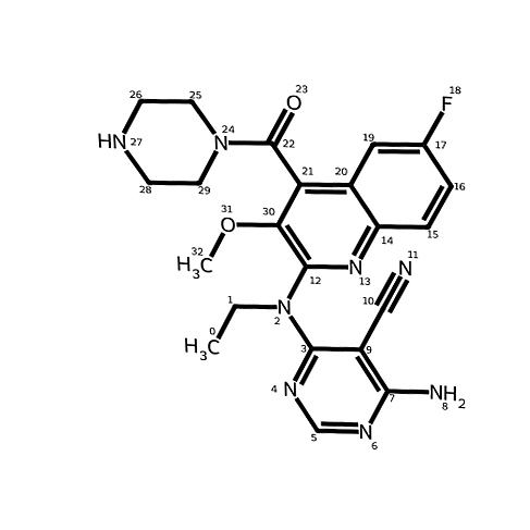 CCN(c1ncnc(N)c1C#N)c1nc2ccc(F)cc2c(C(=O)N2CCNCC2)c1OC